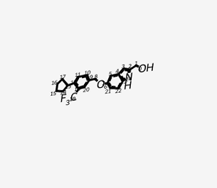 OCc1cc2cc(OCc3ccc(C4CCCC4)c(C(F)(F)F)c3)ccc2[nH]1